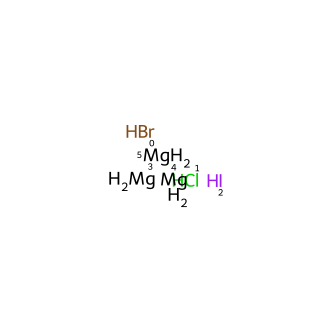 Br.Cl.I.[MgH2].[MgH2].[MgH2]